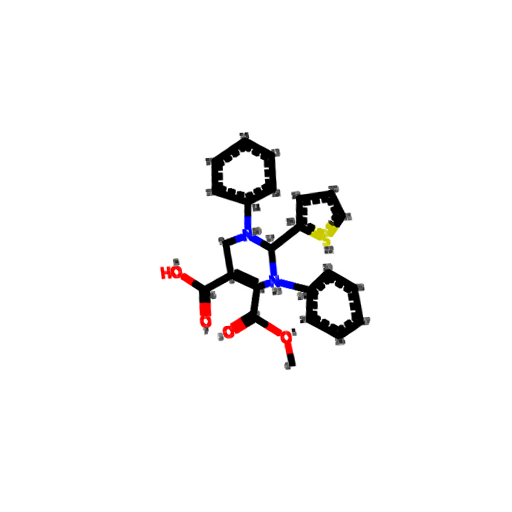 COC(=O)C1=C(C(=O)O)CN(c2ccccc2)C(c2cccs2)N1c1ccccc1